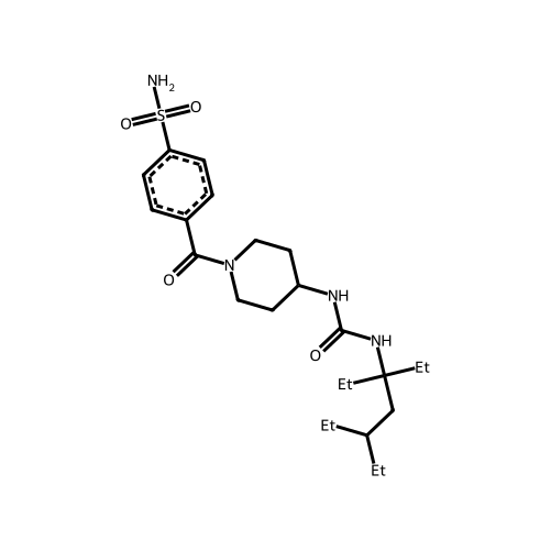 CCC(CC)CC(CC)(CC)NC(=O)NC1CCN(C(=O)c2ccc(S(N)(=O)=O)cc2)CC1